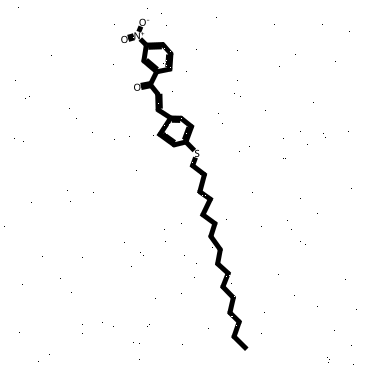 CCCCCCCCCCCCCCCCSc1ccc(C=CC(=O)c2cccc([N+](=O)[O-])c2)cc1